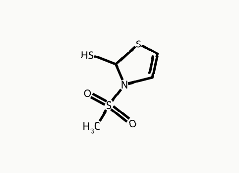 CS(=O)(=O)N1C=CSC1S